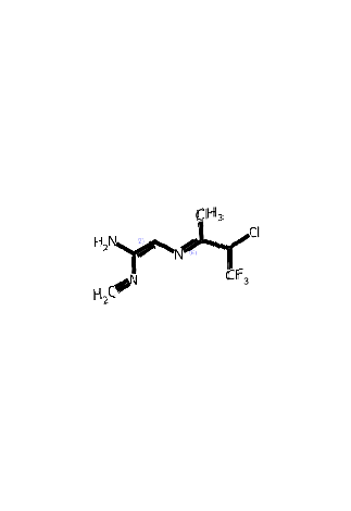 C=N/C(N)=C\N=C(/C)C(Cl)C(F)(F)F